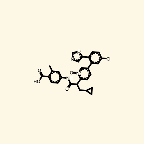 Cc1cc(NC(=O)C(CC2CC2)c2ccc(-c3cc(Cl)ccc3-c3cnco3)c[n+]2[O-])ccc1C(=O)O